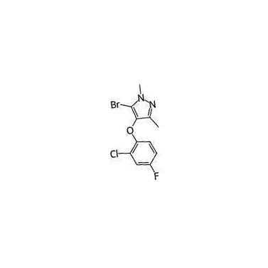 Cc1nn(C)c(Br)c1Oc1ccc(F)cc1Cl